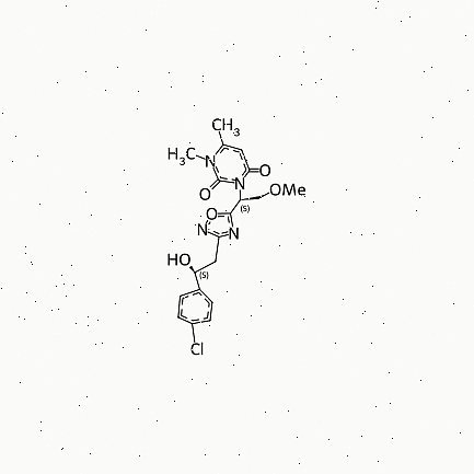 COC[C@@H](c1nc(C[C@H](O)c2ccc(Cl)cc2)no1)n1c(=O)cc(C)n(C)c1=O